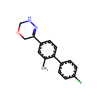 Cc1cc(C2=NNCOC2)ccc1-c1ccc(F)cc1